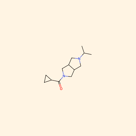 CC(C)N1CC2CN(C(=O)C3CC3)CC2C1